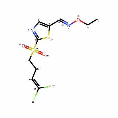 CCO/N=C/c1cnc(S(=O)(=O)CCC=C(F)F)s1